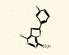 CCOC(=O)c1nnc(Cl)c2cc(-c3cccc(F)c3)sc12